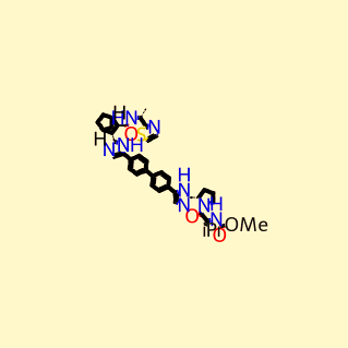 COC(=O)NC(C(=O)N1CCC[C@H]1c1ncc(-c2ccc(-c3ccc(-c4cnc([C@@H]5[C@H]6CC[C@H](C6)[C@H]5C(=O)N[C@H](C)c5nccs5)[nH]4)cc3)cc2)[nH]1)C(C)C